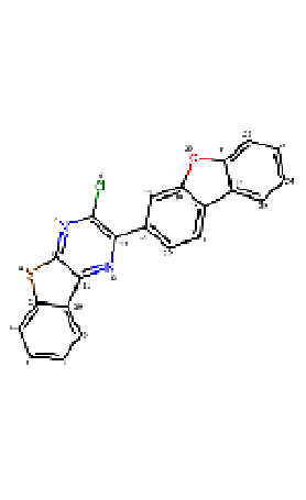 Clc1nc2sc3ccccc3c2nc1-c1ccc2c(c1)oc1ccccc12